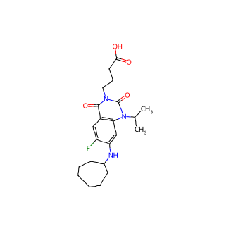 CC(C)n1c(=O)n(CCCC(=O)O)c(=O)c2cc(F)c(NC3CCCCCC3)cc21